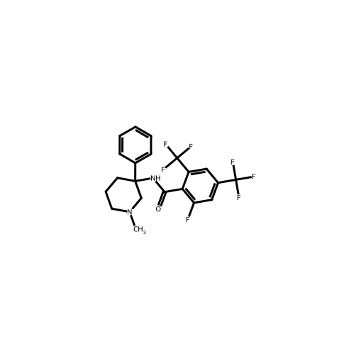 CN1CCCC(NC(=O)c2c(F)cc(C(F)(F)F)cc2C(F)(F)F)(c2ccccc2)C1